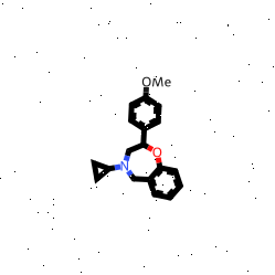 COc1ccc(C2CN(C3CC3)Cc3ccccc3O2)cc1